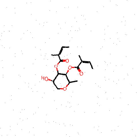 C/C=C(/C)C(=O)OC1[C@@H](OC(=O)/C(C)=C\C)C(C)OC[C@H]1O